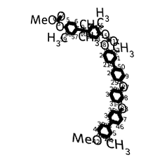 COC(=O)Oc1ccc(C(C)(C)c2ccc(OC(=O)Oc3ccc(-c4ccc(Oc5cccc(Oc6ccc(-c7ccc(OC)c(C)c7)cc6)c5)cc4)cc3C)c(C)c2)cc1C